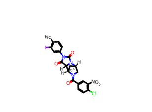 N#Cc1ccc(N2C(=O)[C@H]3[C@@H]4C[C@@H](CN4C(=O)c4ccc(Cl)c([N+](=O)[O-])c4)N3C2=O)cc1I